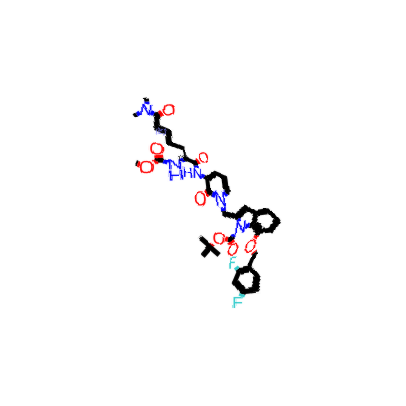 COC(=O)N[C@@H](CC/C=C/C(=O)N(C)C)C(=O)Nc1cccn(Cc2cc3cccc(OCc4ccc(F)cc4F)c3n2C(=O)OC(C)(C)C)c1=O